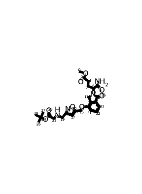 COC(=O)CCC(C(N)=O)N1Cc2c(OCc3cc(CNCC(=O)OC(C)(C)C)no3)cccc2C1=O